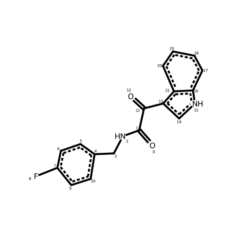 O=C(NCc1ccc(F)cc1)C(=O)c1c[nH]c2ccccc12